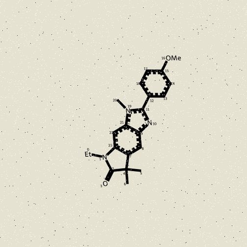 CCN1C(=O)C(C)(C)c2cc3nc(-c4ccc(OC)cc4)n(C)c3cc21